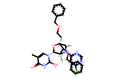 CC1=CN([C@@H]2O[C@@]3(CCOCc4ccccc4)CN(c4cc(Cl)ncn4)[C@@H]2[C@@H]3OCc2ccccc2)C(O)NC1=O